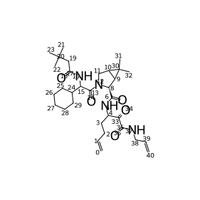 C=CCCC(NC(=O)[C@@H]1C2C(CN1C(=O)C(NC(=O)CC(C)(C)C)C1CCCCC1)C2(C)C)C(=O)C(=O)NCC=C